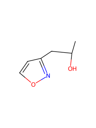 CC(O)Cc1ccon1